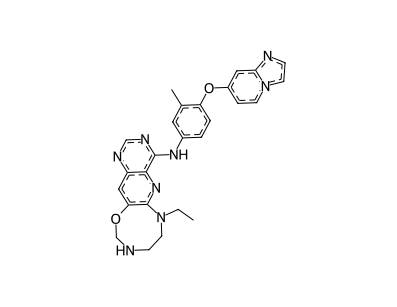 CCN1CCNCOc2cc3ncnc(Nc4ccc(Oc5ccn6ccnc6c5)c(C)c4)c3nc21